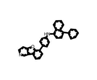 c1ccc(-c2ccc(Nc3ccc(-c4cccc5c4oc4ccncc45)cc3)c3ccccc23)cc1